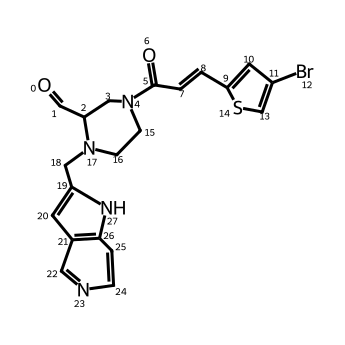 O=CC1CN(C(=O)/C=C/c2cc(Br)cs2)CCN1Cc1cc2cnccc2[nH]1